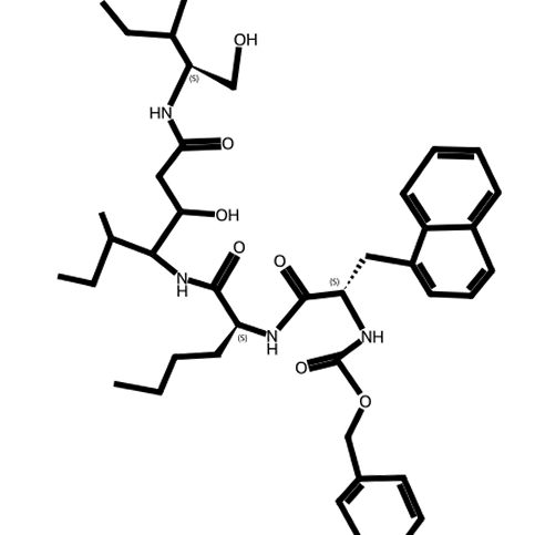 CCCC[C@H](NC(=O)[C@H](Cc1cccc2ccccc12)NC(=O)OCc1ccccc1)C(=O)NC(C(C)CC)C(O)CC(=O)N[C@H](CO)C(C)CC